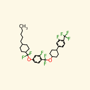 CCCCCC1CCC(C(F)(F)Oc2ccc(C(F)(F)OC3CCC(c4ccc(C(F)(F)F)c(F)c4)CC3)c(F)c2)CC1